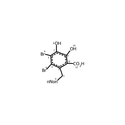 CCCCCCCCCCc1c(Br)c(Br)c(O)c(O)c1C(=O)O